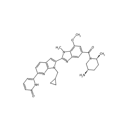 COc1cc(C(=O)N2C[C@H](N)CC[C@@H]2C)cc2nc(-c3cc4ccc(-c5cccc(=O)[nH]5)nc4n3CC3CC3)n(C)c12